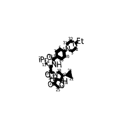 CCN1CCN(c2ccc(C(=O)N[C@@H](CC(C)C)C(=O)N3C[C@H](C4CC4)[C@H]4OCC(=O)[C@H]43)cc2)CC1